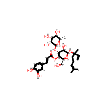 C=CC(C)(CCC=C(C)C)O[C@@H]1O[C@H](CO)[C@@H](OC(=O)/C=C/c2ccc(O)c(O)c2)[C@H](O[C@@H]2O[C@@H](C)[C@H](O)[C@@H](O)[C@H]2O)[C@H]1O